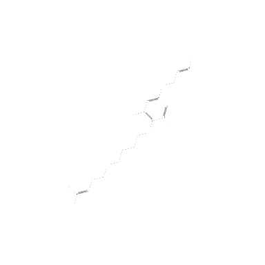 FC(F)(F)C(Cl)=CCCOCCCCOc1c(Cl)cc(OCC=C(Cl)Cl)cc1Cl